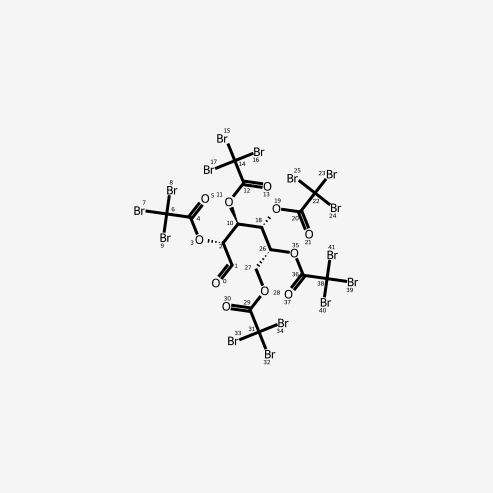 O=C[C@H](OC(=O)C(Br)(Br)Br)[C@@H](OC(=O)C(Br)(Br)Br)[C@H](OC(=O)C(Br)(Br)Br)[C@@H](COC(=O)C(Br)(Br)Br)OC(=O)C(Br)(Br)Br